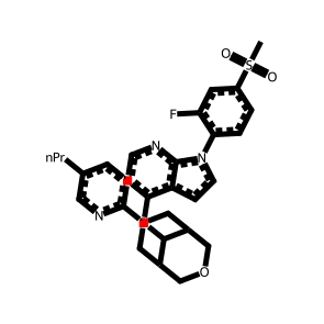 CCCc1cnc(N2CC3COCC(C2)C3Oc2ncnc3c2ccn3-c2ccc(S(C)(=O)=O)cc2F)nc1